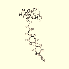 CC(C)(C)[Si](C)(C)OCCC=Cc1ccc(-c2ccc(C#N)cc2)cc1